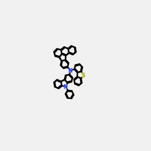 c1ccc(-n2c3ccccc3c3cc(N(c4ccc5c(c4)-c4c6ccccc6cc6cccc-5c46)c4cccc5sc6ccccc6c45)ccc32)cc1